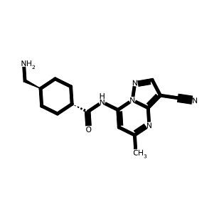 Cc1cc(NC(=O)[C@H]2CC[C@H](CN)CC2)n2ncc(C#N)c2n1